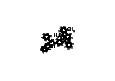 CNN(Cc1ccccc1)/C(=N\Cc1ccc(-n2c3ccccc3c3ccc4c(c32)C(C)(C)C2=C4C(C)CC=C2)cc1)c1ccccc1